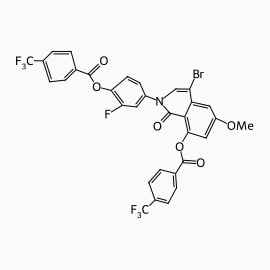 COc1cc(OC(=O)c2ccc(C(F)(F)F)cc2)c2c(=O)n(-c3ccc(OC(=O)c4ccc(C(F)(F)F)cc4)c(F)c3)cc(Br)c2c1